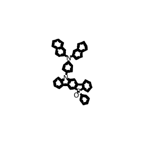 O=P1(c2ccccc2)c2ccccc2-c2cc3c(cc21)c1ccccc1n3-c1ccc(N(c2ccc3ccccc3c2)c2ccc3ccccc3c2)cc1